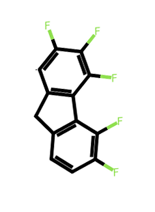 Fc1[c]c2c(c(F)c1F)-c1c(ccc(F)c1F)C2